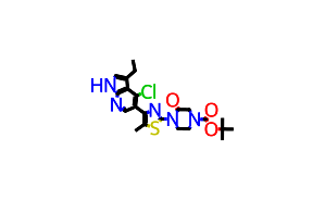 CCc1c[nH]c2ncc(-c3nc(N4CCN(C(=O)OC(C)(C)C)CC4=O)sc3C)c(Cl)c12